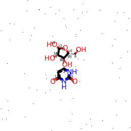 O=c1cc[nH]c(=O)[nH]1.OC[C@H]1OC(O)[C@@H](O)[C@@H]1O